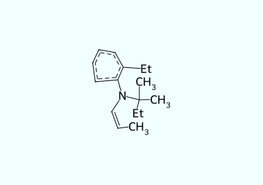 C/C=C\N(c1ccccc1CC)C(C)(C)CC